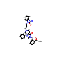 COC(=O)c1ccccc1CN1CN(c2ccccc2)C2(CCN(CCCn3c4c([nH]c3=O)C=CCC4)CC2)C1=O